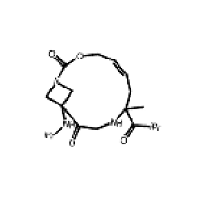 CC(C)NC12CN(C1)C(=O)OC/C=C\CC(C)(C(=O)C(C)C)NCC2=O